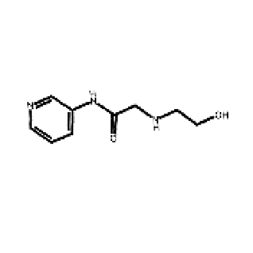 O=C(CNCCO)Nc1cccnc1